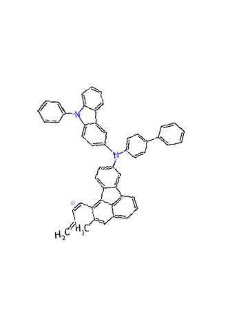 C=C/C=C\c1c(C)cc2cccc3c2c1-c1ccc(N(c2ccc(-c4ccccc4)cc2)c2ccc4c(c2)c2ccccc2n4-c2ccccc2)cc1-3